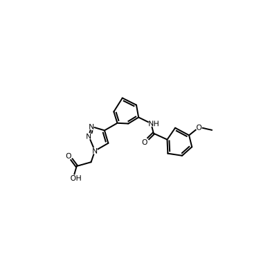 COc1cccc(C(=O)Nc2cccc(-c3cn(CC(=O)O)nn3)c2)c1